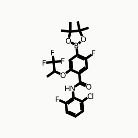 CC(Oc1cc(B2OC(C)(C)C(C)(C)O2)c(F)cc1C(=O)Nc1c(F)cccc1Cl)C(F)(F)F